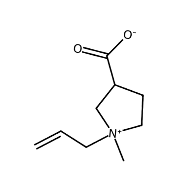 C=CC[N+]1(C)CCC(C(=O)[O-])C1